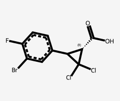 O=C(O)[C@H]1C(c2ccc(F)c(Br)c2)C1(Cl)Cl